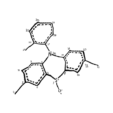 Cc1ccc2c(c1)[S+]([O-])c1cc(C)ccc1N2c1ccccc1C